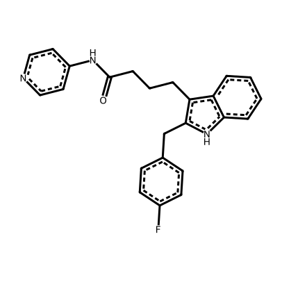 O=C(CCCc1c(Cc2ccc(F)cc2)[nH]c2ccccc12)Nc1ccncc1